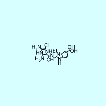 CCN1C(CNC(=O)C2NC(Cl)=C(N)NC2N)NC2C=CC(C(O)O)=CC21